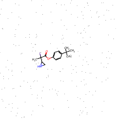 CC(=O)OC(C)(C)c1ccc(OC(=O)C(C)(I)C2CN2)cc1